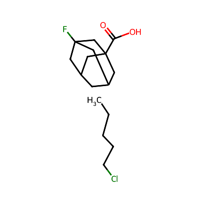 CCCCCCl.O=C(O)C12CC3CC(CC(F)(C3)C1)C2